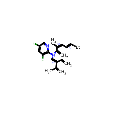 C=C/C(=C\N(C(=C)/C(C)=C\C=C\CC)c1ncc(F)cc1F)C(=C)C